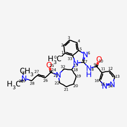 Cc1cccc2nc(NC(=O)c3ccnnc3)n(C3CCCCN(C(=O)C=CCN(C)C)C3)c12